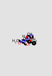 C=CC(=O)N1CC(C)N2c3nc(=O)n(-c4c(C)ccnc4C(C)C)c4c(F)c(-c5ccccc5F)c(F)c(c34)OCCC2C1